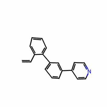 C=Cc1ccccc1-c1cccc(-c2ccncc2)c1